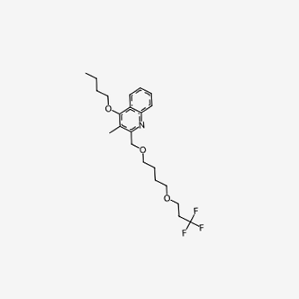 CCCCOc1c(C)c(COCCCCOCCC(F)(F)F)nc2ccccc12